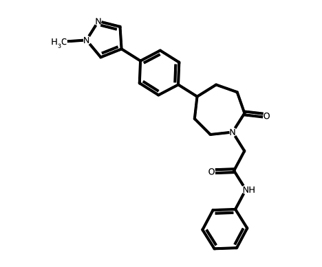 Cn1cc(-c2ccc(C3CCC(=O)N(CC(=O)Nc4ccccc4)CC3)cc2)cn1